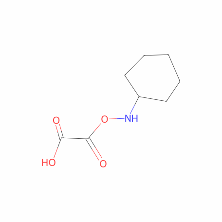 O=C(O)C(=O)ONC1CCCCC1